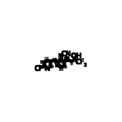 N#CN=c1c(OCC(O)C(F)(F)F)cccn1Cc1ccc(Cl)nc1